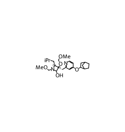 COCO[C@@]1(Cc2cc(OC3CC4CCC3C4)ccn2)C(O)N(COC)[C@H]1CC(C)C